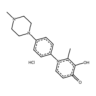 Cc1c(O)c(=O)ccn1-c1ccc(N2CCN(C)CC2)cc1.Cl